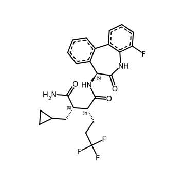 NC(=O)[C@@H](CC1CC1)[C@@H](CCC(F)(F)F)C(=O)N[C@@H]1C(=O)Nc2c(F)cccc2-c2ccccc21